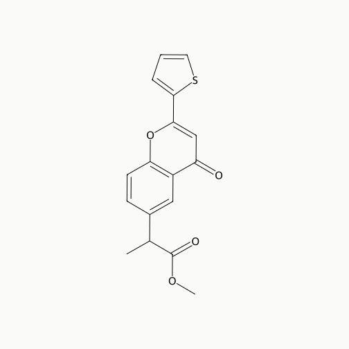 COC(=O)C(C)c1ccc2oc(-c3cccs3)cc(=O)c2c1